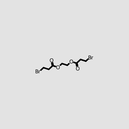 O=C(CCBr)OCCOC(=O)CCBr